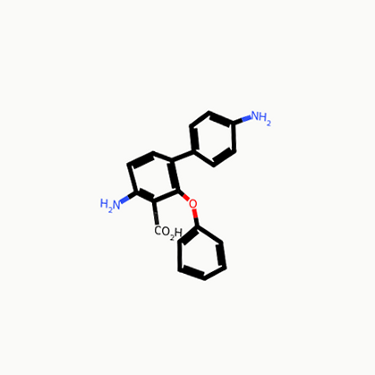 Nc1ccc(-c2ccc(N)c(C(=O)O)c2Oc2ccccc2)cc1